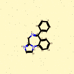 c1ccc(C2=NCc3nccn3-c3ccccc32)cc1